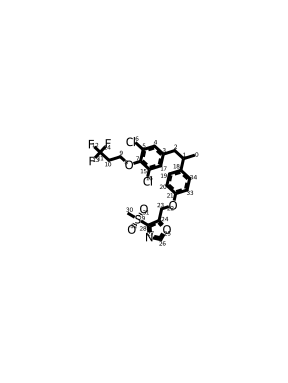 CC(Cc1cc(Cl)c(OCCC(F)(F)F)c(Cl)c1)c1ccc(OCc2ocnc2S(C)(=O)=O)cc1